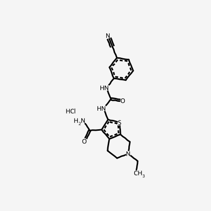 CCN1CCc2c(sc(NC(=O)Nc3cccc(C#N)c3)c2C(N)=O)C1.Cl